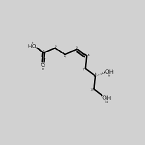 O=C(O)CC/C=C\C[C@H](O)CO